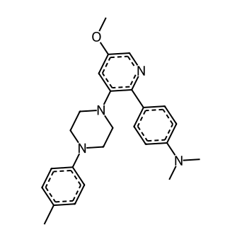 COc1cnc(-c2ccc(N(C)C)cc2)c(N2CCN(c3ccc(C)cc3)CC2)c1